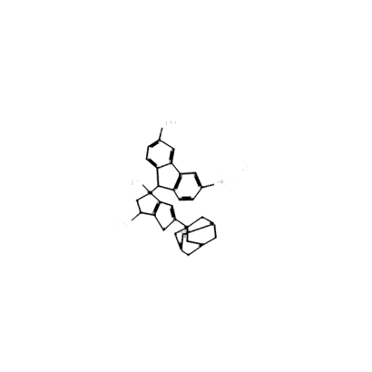 CC(C)C1(C2c3ccc(C(C)(C)C)cc3-c3cc(C(C)(C)C)ccc32)CC(C(C)(C)C)C2=C1C=C(C13CC4CC(CC(C4)C1)C3)C2.[Cl-].[Cl-].[Zr+2]